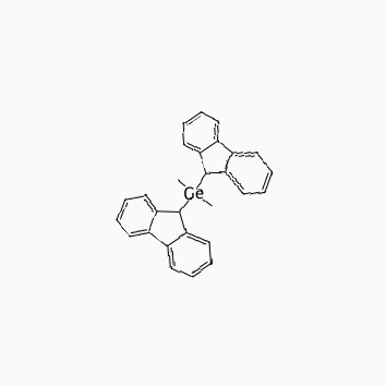 [CH3][Ge]([CH3])([CH]1c2ccccc2-c2ccccc21)[CH]1c2ccccc2-c2ccccc21